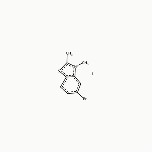 Cc1sc2ccc(Br)cc2[n+]1C.[I-]